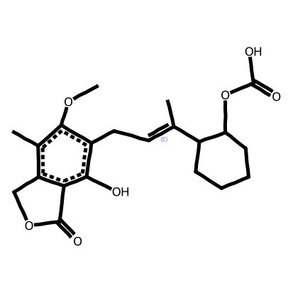 COc1c(C)c2c(c(O)c1C/C=C(\C)C1CCCCC1OC(=O)O)C(=O)OC2